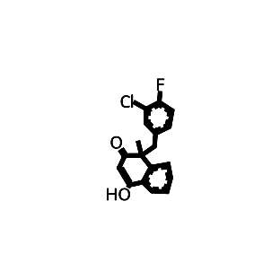 CC1(Cc2ccc(F)c(Cl)c2)C(=O)C=C(O)c2ccccc21